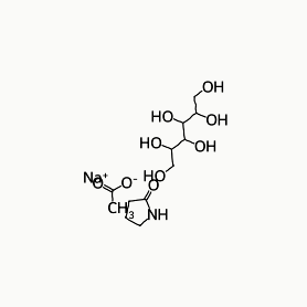 CC(=O)[O-].O=C1CCCN1.OCC(O)C(O)C(O)C(O)CO.[Na+]